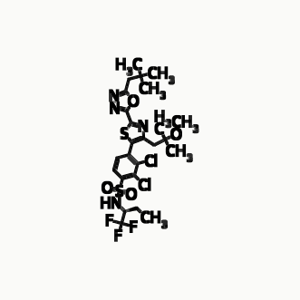 CC[C@H](NS(=O)(=O)c1ccc(-c2sc(-c3nnc(CC(C)(C)C)o3)nc2CC(C)(C)OC)c(Cl)c1Cl)C(F)(F)F